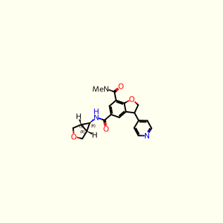 CNC(=O)c1cc(C(=O)N[C@H]2[C@@H]3COC[C@@H]32)cc2c1OCC2c1ccncc1